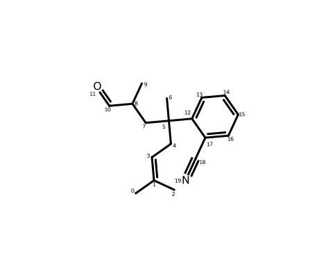 CC(C)=CCC(C)(CC(C)C=O)c1ccccc1C#N